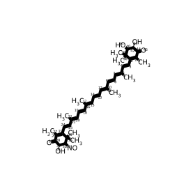 CC1=C(/C=C/C(C)=C/C=C/C(C)=C/C=C/C=C(C)/C=C/C=C(C)/C=C/C2=C(C)C(=O)[C@@H](O)C(N=O)C2(C)C)C(C)(C)C(O)[C@H](O)C1=O